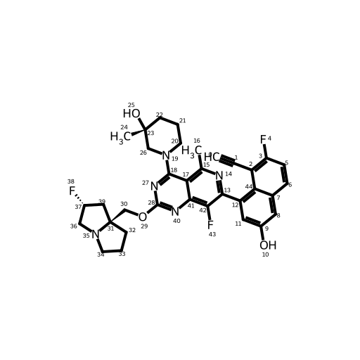 C#Cc1c(F)ccc2cc(O)cc(-c3nc(C)c4c(N5CCC[C@@](C)(O)C5)nc(OC[C@@]56CCCN5C[C@H](F)C6)nc4c3F)c12